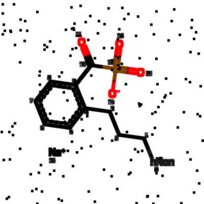 CCCCCCCCCCCCc1ccccc1C(=O)S(=O)(=O)[O-].[Na+]